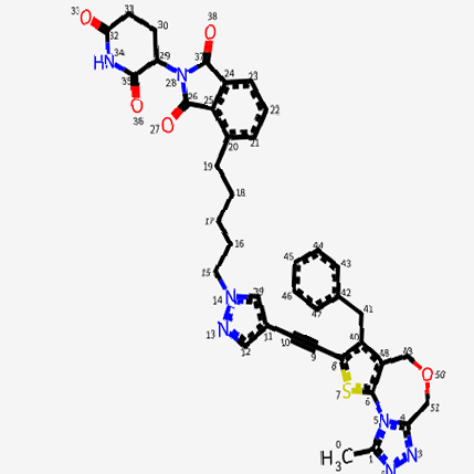 Cc1nnc2n1-c1sc(C#Cc3cnn(CCCCCc4cccc5c4C(=O)N(C4CCC(=O)NC4=O)C5=O)c3)c(Cc3ccccc3)c1COC2